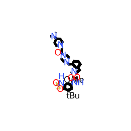 COc1c(NC(=O)Oc2cc3cccc(CN4CCN(C(=O)CN5CCC(N(C)C)CC5)CC4)c3n2C)cc(C(C)(C)C)cc1NS(C)(=O)=O